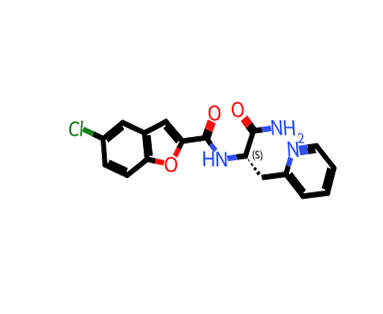 NC(=O)[C@H](Cc1ccccn1)NC(=O)c1cc2cc(Cl)ccc2o1